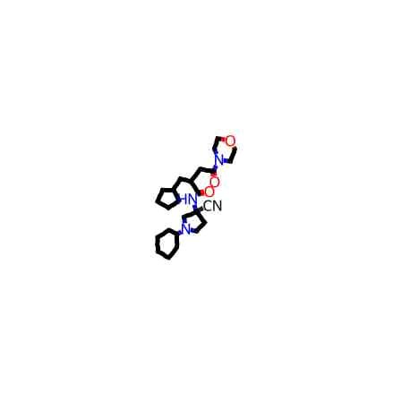 N#CC1(NC(=O)C(CC(=O)N2CCOCC2)CC2CCCC2)CCN(C2CCCCC2)C1